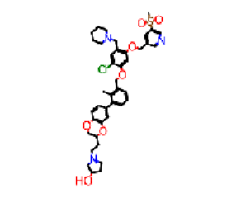 Cc1c(COc2cc(OCc3cncc(S(C)(=O)=O)c3)c(CN3CCCCC3)cc2Cl)cccc1-c1ccc2c(c1)OC(CCN1CC[C@@H](O)C1)CO2